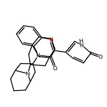 O=c1ccc(-c2nc3ccccc3n(C3CC4CCCC(C3)N4C3CC4CCCC(C4)C3)c2=O)c[nH]1